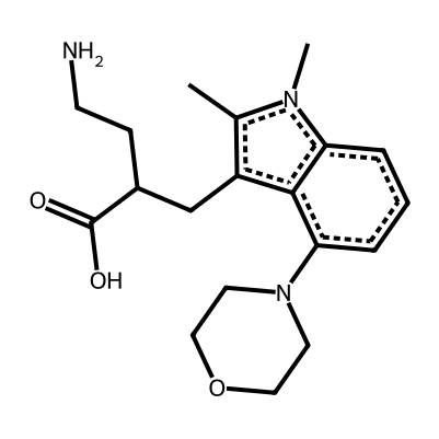 Cc1c(CC(CCN)C(=O)O)c2c(N3CCOCC3)cccc2n1C